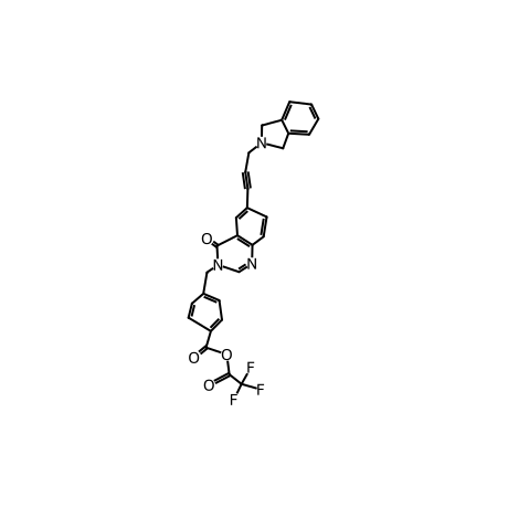 O=C(OC(=O)C(F)(F)F)c1ccc(Cn2cnc3ccc(C#CCN4Cc5ccccc5C4)cc3c2=O)cc1